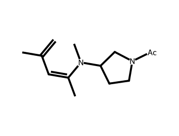 C=C(C)/C=C(/C)N(C)C1CCN(C(C)=O)C1